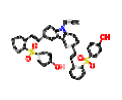 CCCCCCn1c2ccc(C=Cc3ccccc3S(=O)(=O)c3ccc(O)cc3)cc2c2cc(C=Cc3ccccc3S(=O)(=O)c3ccc(O)cc3)ccc21